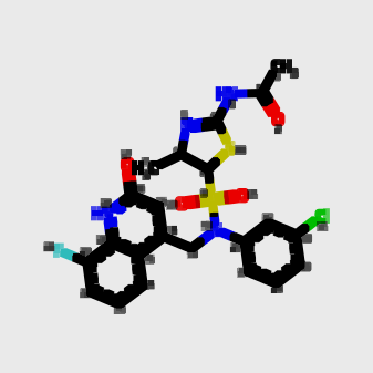 CC(=O)NC1=NC(C)C(S(=O)(=O)N(Cc2cc(=O)[nH]c3c(F)cccc23)c2cccc(Cl)c2)S1